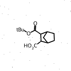 CC(C)(C)OC(=O)C1C2CCC(C2)C1C(=O)O